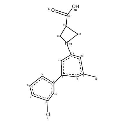 Cc1cc(-c2cccc(Cl)c2)cc(N2CC(C(=O)O)C2)c1